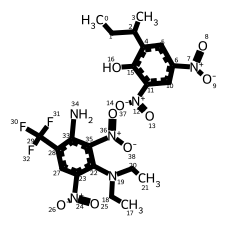 CCC(C)c1cc([N+](=O)[O-])cc([N+](=O)[O-])c1O.CCN(CC)c1c([N+](=O)[O-])cc(C(F)(F)F)c(N)c1[N+](=O)[O-]